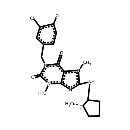 C[C@H]1CCCC1Nc1nc2c(c(=O)n(Cc3ccc(Cl)c(Cl)c3)c(=O)n2C)n1C